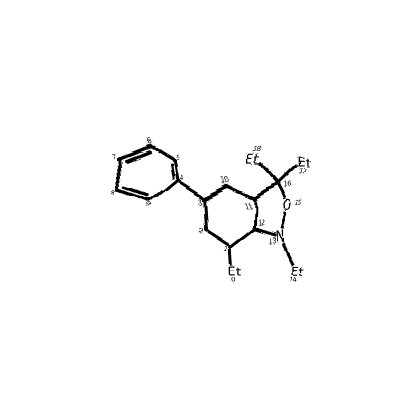 CCC1CC(c2ccccc2)CC2C1N(CC)OC2(CC)CC